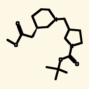 COC(=O)C[C@@H]1CCCN(CC2CCN(C(=O)OC(C)(C)C)C2)C1